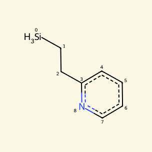 [SiH3]CCc1ccccn1